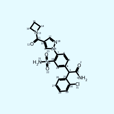 NC(=O)C(c1ccc(-n2cc(C(=O)N3CCC3)cn2)c(S(N)(=O)=O)c1)c1ccccc1Cl